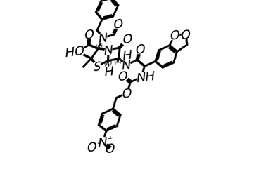 CC1(C)S[C@@H]2[C@H](NC(=O)C(NC(=O)OCc3ccc([N+](=O)[O-])cc3)c3ccc4c(c3)OOC4)C(=O)N2[C@]1(C(=O)O)N(C=O)Cc1ccccc1